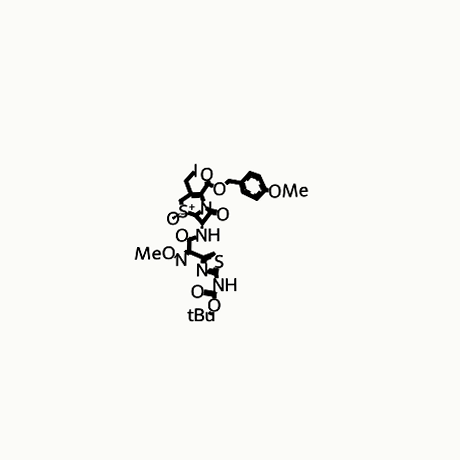 CO/N=C(\C(=O)N[C@@H]1C(=O)N2C(C(=O)OCc3ccc(OC)cc3)=C(CI)C[S@+]([O-])C12)c1csc(NC(=O)OC(C)(C)C)n1